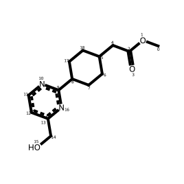 COC(=O)CC1CCC(c2nccc(CO)n2)CC1